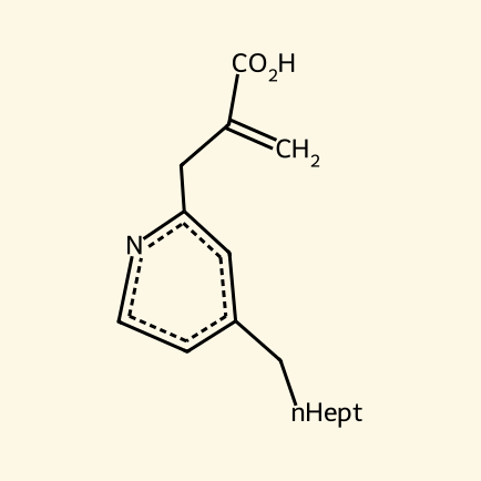 C=C(Cc1cc(CCCCCCCC)ccn1)C(=O)O